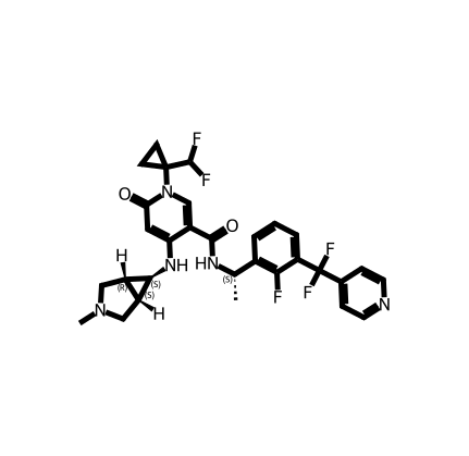 C[C@H](NC(=O)c1cn(C2(C(F)F)CC2)c(=O)cc1N[C@H]1[C@@H]2CN(C)C[C@@H]21)c1cccc(C(F)(F)c2ccncc2)c1F